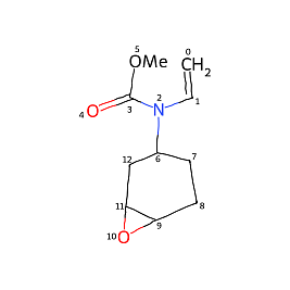 C=CN(C(=O)OC)C1CCC2OC2C1